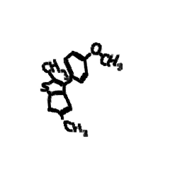 COc1ccc(-c2c(C)sc3c2C=C(C)C3)cc1